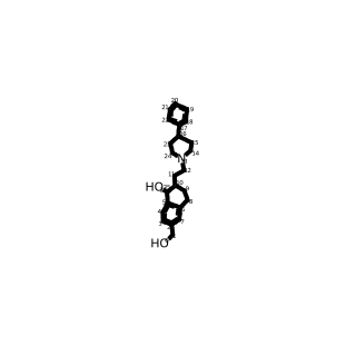 OCc1ccc2c(c1)CCC(CCN1CCC(c3ccccc3)CC1)C2O